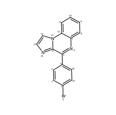 Brc1ccc(-c2nc3ccccc3n3ccnc23)cc1